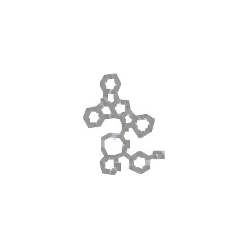 N#Cc1cccc(/C2=N/C(n3c4ccccc4c4cc5c6ccccc6n6c7ccccc7c(c43)c56)=C\CCc3cccnc32)c1